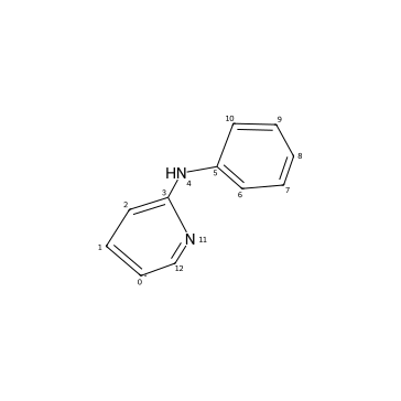 [c]1ccc(Nc2ccccc2)nc1